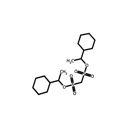 CC(OS(=O)(=O)CS(=O)(=O)OC(C)C1CCCCC1)C1CCCCC1